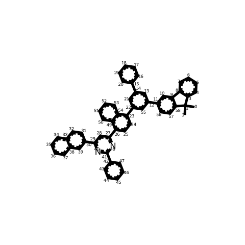 CC1(C)c2ccccc2-c2cc(-c3cc(-c4ccccc4)cc(-c4ccc(-c5cc(-c6ccc7ccccc7c6)nc(-c6ccccc6)n5)c5ccccc45)c3)ccc21